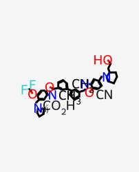 Cc1c(-c2nc3cc(CN4CCC[C@H]4C(=O)O)c(OC(F)F)cc3o2)cccc1-c1cccc(-c2nc3cc(CN4CCCCC4CCO)cc(C#N)c3o2)c1C